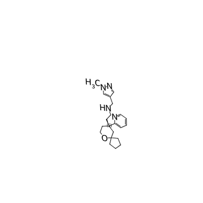 Cn1cc(CNCC[C@]2(c3ccccn3)CCOC3(CCCC3)C2)cn1